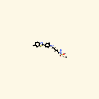 Cc1ccc2nc(-c3ccc(NCCCCCNS(=O)(=O)C(C)(C)C)cc3)sc2c1